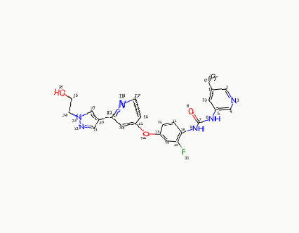 CC(C)c1cncc(NC(=O)Nc2ccc(Oc3ccnc(-c4cnn(CCO)c4)c3)cc2F)c1